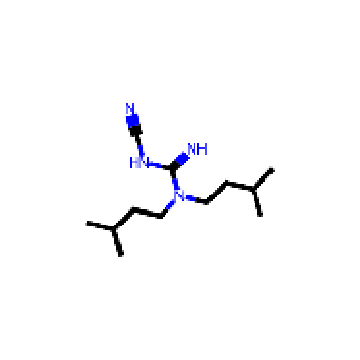 CC(C)CCN(CCC(C)C)C(=N)NC#N